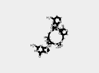 Nc1nc2c(ncn2[C@@H]2O[C@@H]3COP(=O)(S)OC4[C@H]5OCC4(COP(=O)(S)O[C@@H]2[C@@H]3F)O[C@H]5n2cnc3c(N)ccnc32)c(=O)[nH]1